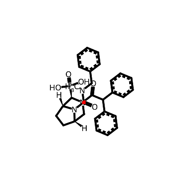 CN(Cc1ccccc1)C(=O)N1[C@H]2CC[C@@H]1[C@@H](P(=O)(O)O)N(C(=O)C(c1ccccc1)c1ccccc1)C2